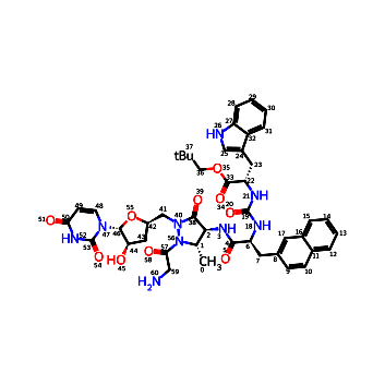 C[C@H]1[C@H](NC(=O)[C@H](Cc2ccc3ccccc3c2)NC(=O)N[C@@H](Cc2c[nH]c3ccccc23)C(=O)OCC(C)(C)C)C(=O)N(C[C@H]2C[C@@H](O)[C@H](n3ccc(=O)[nH]c3=O)O2)N1C(=O)CN